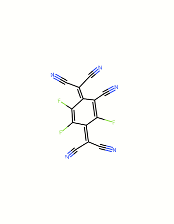 N#CC(C#N)=c1c(F)c(F)c(=C(C#N)C#N)c(C#N)c1F